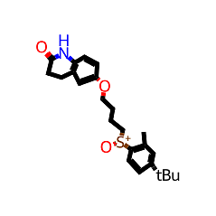 Cc1cc(C(C)(C)C)ccc1[S+]([O-])CCCCOc1ccc2c(c1)CCC(=O)N2